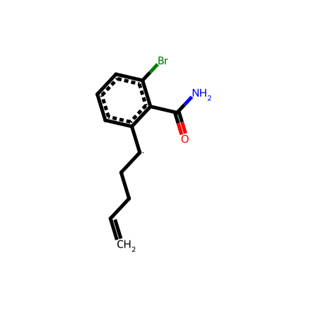 C=CCC[CH]c1cccc(Br)c1C(N)=O